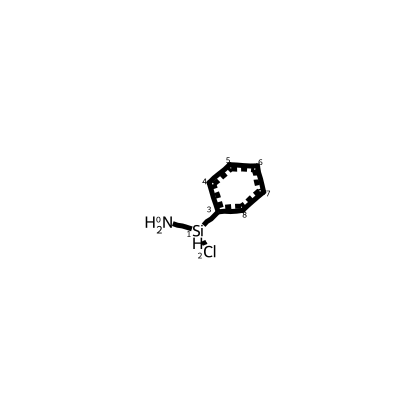 N[SiH](Cl)c1ccccc1